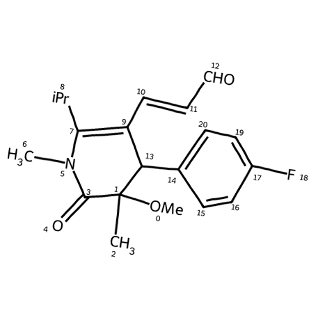 COC1(C)C(=O)N(C)C(C(C)C)=C(C=CC=O)C1c1ccc(F)cc1